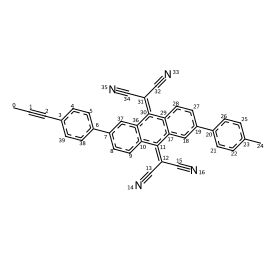 CC#Cc1ccc(-c2ccc3c(=C(C#N)C#N)c4cc(-c5ccc(C)cc5)ccc4c(=C(C#N)C#N)c3c2)cc1